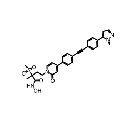 Cn1nccc1-c1ccc(C#Cc2ccc(-c3ccn(CCC(C)(C(=O)NO)S(C)(=O)=O)c(=O)c3)cc2)cc1